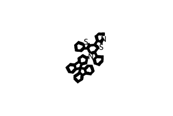 c1ccc2c(c1)-c1ccccc1C21c2ccccc2-c2ccc(-n3c4ccccc4c4c5sc6ncccc6c5c5sc6ccccc6c5c43)cc21